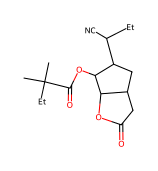 CCC(C#N)C1CC2CC(=O)OC2C1OC(=O)C(C)(C)CC